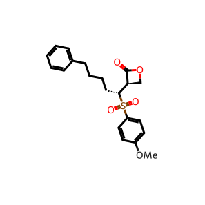 COc1ccc(S(=O)(=O)[C@H](CCCCc2ccccc2)[C@@H]2COC2=O)cc1